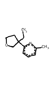 CCC1(c2cccc(C)n2)CCOC1